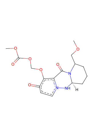 COCC1CCC[C@H]2Nn3ccc(=O)c(OCOC(=O)OC)c3C(=O)N12